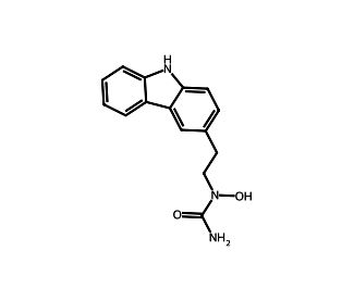 NC(=O)N(O)CCc1ccc2[nH]c3ccccc3c2c1